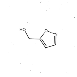 OCc1[c]cno1